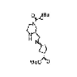 COC(=O)[C@H]1CC/C(=N\CC2CN(C(=O)OC(C)(C)C)CCN2)C1